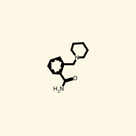 NC(=O)c1ccccc1CN1CCCCC1